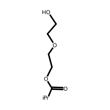 CC(C)C(=O)OCCOCCO